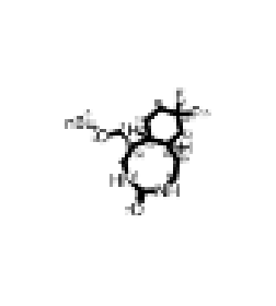 CCCCOC[C@@H]1CNC(=O)NCC[C@@H]2CC(F)(F)CC[C@H]21